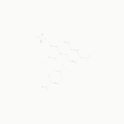 CN(C)C1CCN(S(=O)(=O)c2cc([N+](=O)[O-])cc([N+](=O)[O-])c2N(CCBr)CCOS(C)(=O)=O)CC1